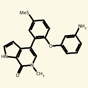 CSc1ccc(Oc2cccc(N)c2)c(-c2cn(C)c(=O)c3[nH]ccc23)c1